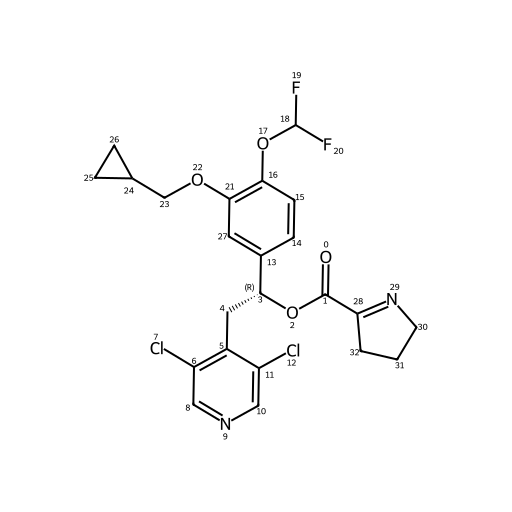 O=C(O[C@H](Cc1c(Cl)cncc1Cl)c1ccc(OC(F)F)c(OCC2CC2)c1)C1=NCCC1